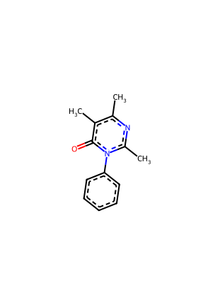 Cc1nc(C)n(-c2ccccc2)c(=O)c1C